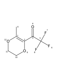 CC1=C(C(=O)C(F)(F)F)OCCO1